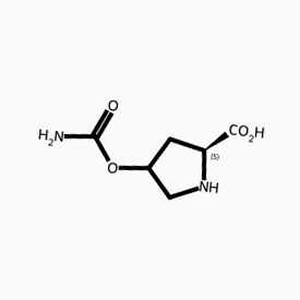 NC(=O)OC1CN[C@H](C(=O)O)C1